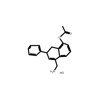 CC(=O)Oc1cccc2c1CC(c1ccccc1)C=C2CN.Cl